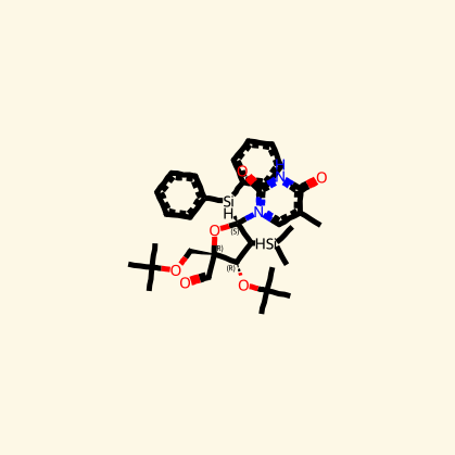 Cc1cn([C@]2([SiH](c3ccccc3)c3ccccc3)O[C@](C=O)(COC(C)(C)C)[C@@H](OC(C)(C)C)C2[SiH](C)C)c(=O)[nH]c1=O